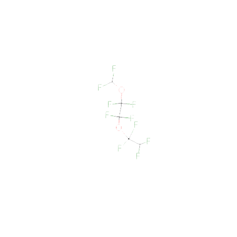 FC(F)OC(F)(F)C(F)(F)OC(F)(F)C(F)F